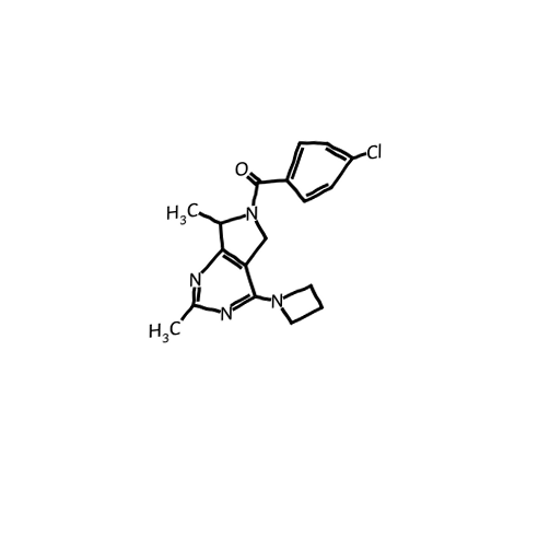 Cc1nc2c(c(N3CCC3)n1)CN(C(=O)c1ccc(Cl)cc1)C2C